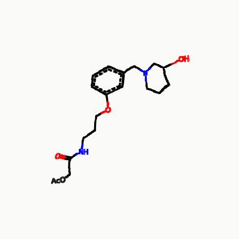 CC(=O)OCC(=O)NCCCOc1cccc(CN2CCCC(O)C2)c1